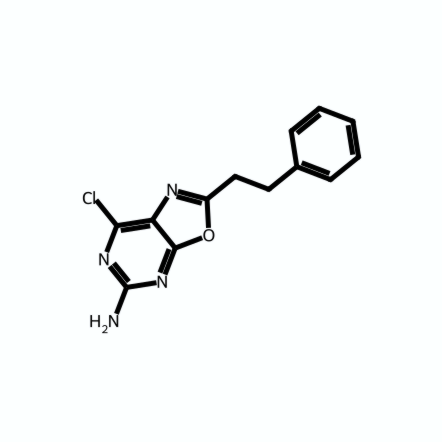 Nc1nc(Cl)c2nc(CCc3ccccc3)oc2n1